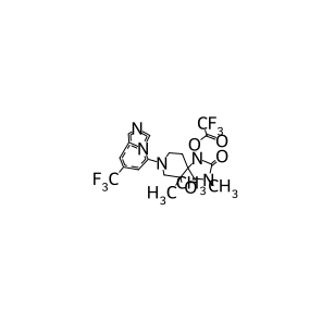 CN1C(=O)N(OC(=O)C(F)(F)F)C2(CCN(c3cc(C(F)(F)F)cc4cncn34)CC2(C)C)C1=O